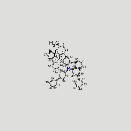 C=C/C=C\C1=C(C)C(c2ccccc2)(c2ccccc2)c2cc(N(c3ccc(-c4ccccc4)cc3)c3cccc(-c4ccccc4)c3)c(-c3ccccc3)cc21